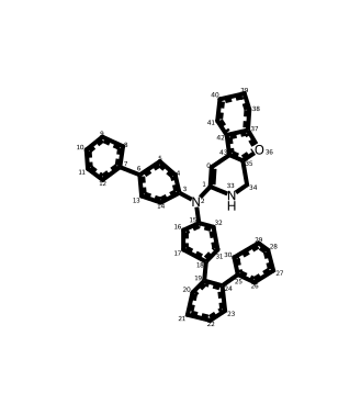 C1=C(N(c2ccc(-c3ccccc3)cc2)c2ccc(-c3ccccc3-c3ccccc3)cc2)NCc2oc3ccccc3c21